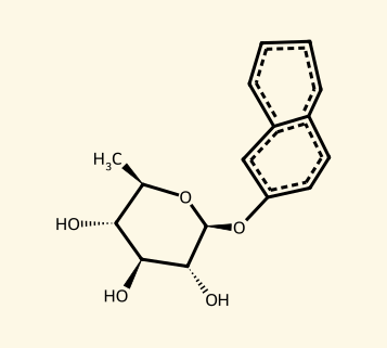 C[C@H]1O[C@@H](Oc2ccc3ccccc3c2)[C@H](O)[C@@H](O)[C@@H]1O